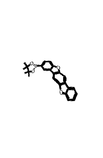 CC1(C)OB(c2ccc3oc4cc5c(cc4c3c2)oc2ccccc25)OC1(C)C